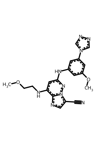 COCCNc1cc(Nc2cc(OC)cc(-n3cnnc3)c2)nn2c(C#N)cnc12